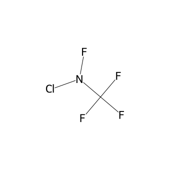 FN(Cl)C(F)(F)F